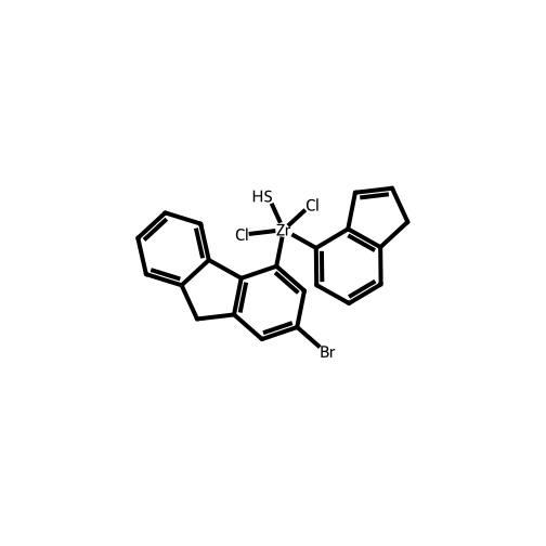 [SH][Zr]([Cl])([Cl])([c]1cccc2c1C=CC2)[c]1cc(Br)cc2c1-c1ccccc1C2